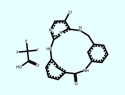 O=C(O)C(F)(F)F.O=C1Nc2cccc(c2)CNc2nc(ncc2Cl)Nc2cccc1c2